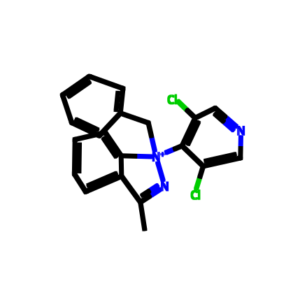 CC1=N[N+](Cc2ccccc2)(c2c(Cl)cncc2Cl)c2ccccc21